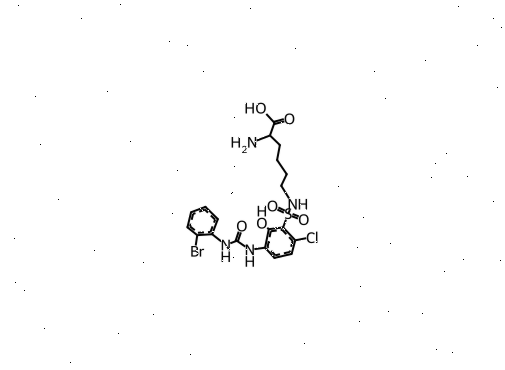 NC(CCCCNS(=O)(=O)c1c(Cl)ccc(NC(=O)Nc2ccccc2Br)c1O)C(=O)O